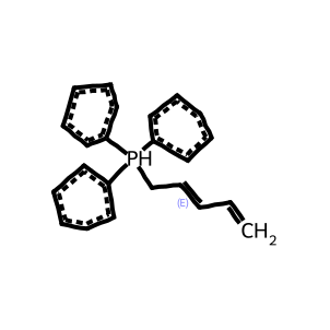 C=C/C=C/C[PH](c1ccccc1)(c1ccccc1)c1ccccc1